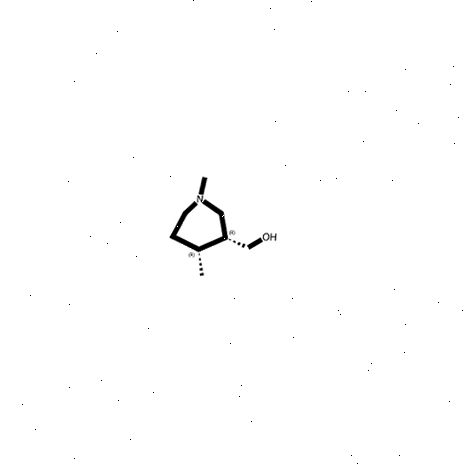 C[C@@H]1CCN(C)C[C@@H]1CO